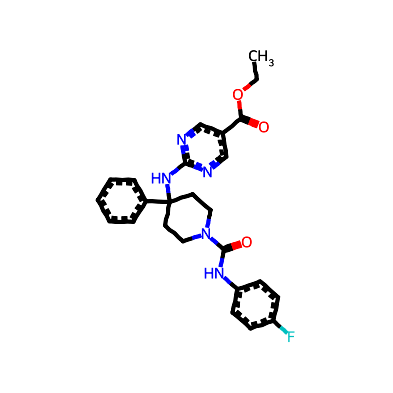 CCOC(=O)c1cnc(NC2(c3ccccc3)CCN(C(=O)Nc3ccc(F)cc3)CC2)nc1